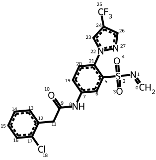 C=NS(=O)(=O)c1cc(NC(=O)Cc2ccccc2Cl)ccc1-n1cc(C(F)(F)F)cn1